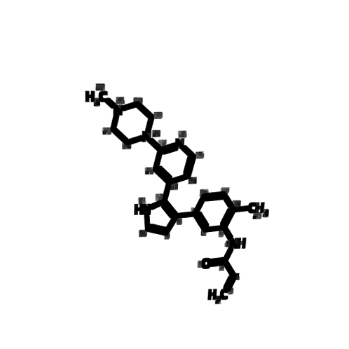 C=CC(=O)Nc1cc(-c2cc[nH]c2-c2ccnc(N3CCN(C)CC3)c2)ccc1C